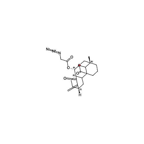 C=C1C(=O)[C@]23CC[C@H]1CC2C12CCC[C@@](C)(COC1=O)C2C[C@H]3OC(=O)CN=[N+]=[N-]